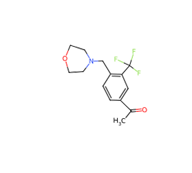 CC(=O)c1ccc(CN2CCOCC2)c(C(F)(F)F)c1